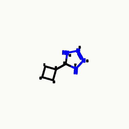 C1CC(C2NN=NN2)C1